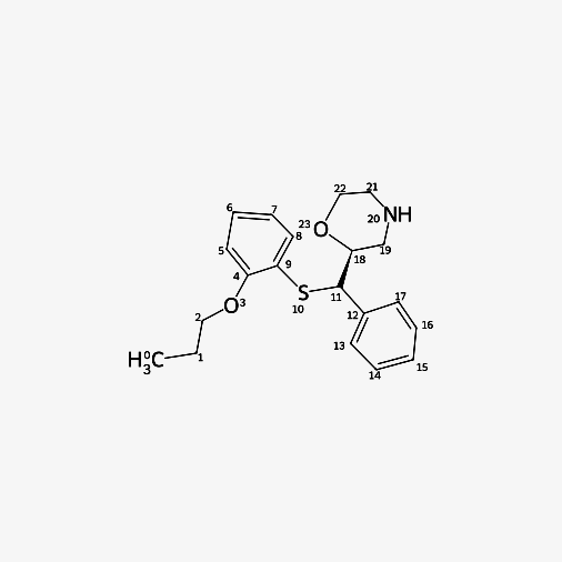 CCCOc1ccccc1SC(c1ccccc1)[C@@H]1CNCCO1